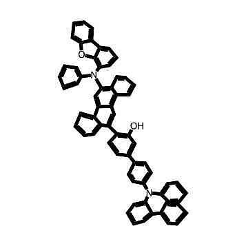 Oc1cc(-c2ccc(N(c3ccccc3)c3ccccc3-c3ccccc3)cc2)ccc1-c1cc2c3ccccc3c(N(c3ccccc3)c3cccc4c3oc3ccccc34)cc2c2ccccc12